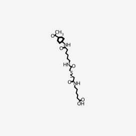 CC(=O)c1ccc(NC(=O)CCCCCNC(=O)CSSCC(=O)NCCCCCC(=O)O)cc1